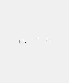 CC(C)NC12CCC(CO)(CC1)OC2